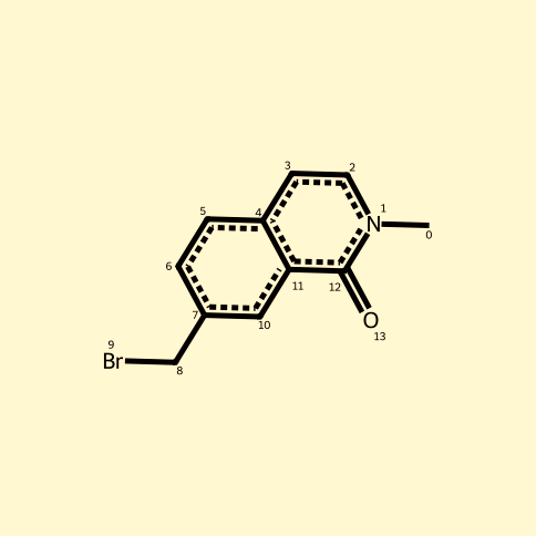 Cn1ccc2ccc(CBr)cc2c1=O